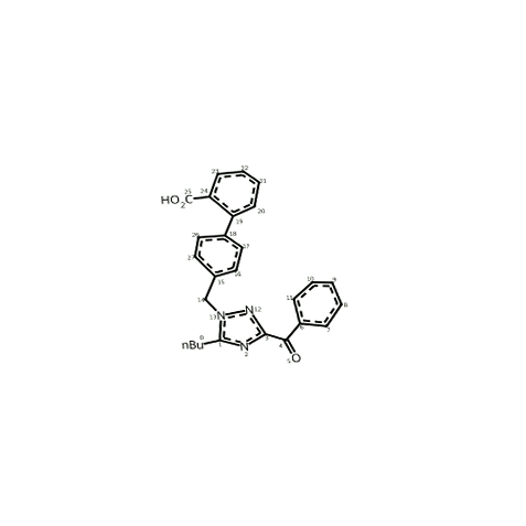 CCCCc1nc(C(=O)c2ccccc2)nn1Cc1ccc(-c2ccccc2C(=O)O)cc1